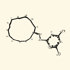 Clc1nc(Cl)nc(ON=C2CCCCCCCCCCCC2)n1